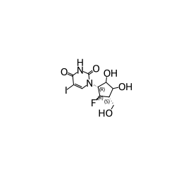 O=c1[nH]c(=O)n([C@@H]2C(O)C(O)[C@H](CO)[C@H]2F)cc1I